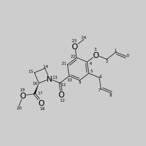 C=CCOc1c(CC=C)cc(C(=O)N2CC[C@@H]2C(=O)OC)cc1OC